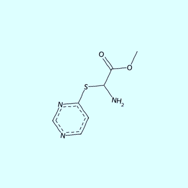 COC(=O)C(N)Sc1ccncn1